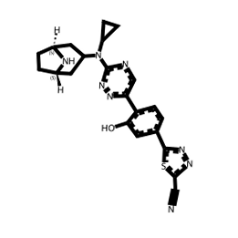 N#Cc1nnc(-c2ccc(-c3cnc(N(C4CC4)C4C[C@@H]5CC[C@@H](C4)N5)nn3)c(O)c2)s1